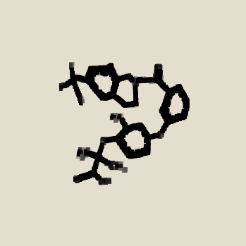 Cc1cc(Oc2cccc(C(=O)N3CCc4cc(C(F)(F)F)ccc4C3)c2)ccc1OC(C)(C)C(=O)O